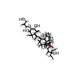 [2H]C1([2H])C([2H])([2H])[C@@]2([2H])/C(=C/C(C)=C3\C(=C)[C@@H](O)[C@H](OCC(C)CO)[C@](C)(O)C3(C)C)C(C)(C)C(C)(C)C(C)(C)[C@]2(C([2H])(C)C)[C@@]1([2H])[C@](C)(C(C)C)C(C)CC(C)C(O)(CC)CC